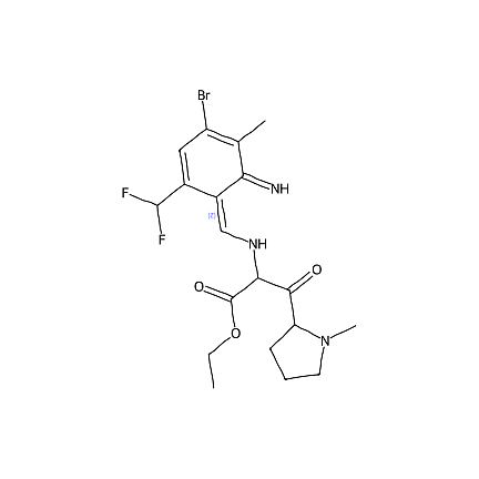 CCOC(=O)C(N/C=C1\C(=N)C(C)=C(Br)C=C1C(F)F)C(=O)C1CCCN1C